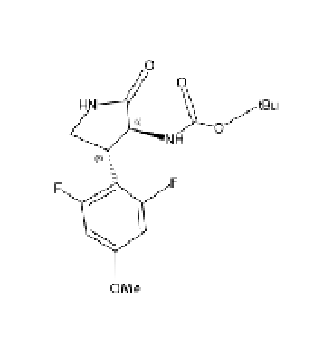 COc1cc(F)c([C@@H]2CNC(=O)[C@H]2NC(=O)OC(C)(C)C)c(F)c1